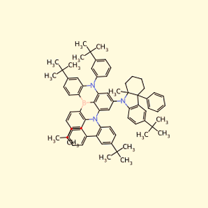 CC(C)c1ccc2c(c1)N(c1ccc(C(C)(C)C)cc1C1=CC=C=C=C1)c1cc(N3c4ccc(C(C)(C)C)cc4C4(c5ccccc5)CCCCC34C)cc3c1B2c1ccc(C(C)(C)C)cc1N3c1cccc(C(C)(C)C)c1